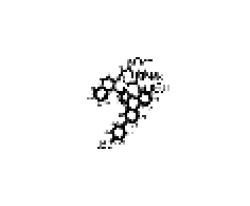 CCCCCCCCC(CCCCCC)COc1ccc2ccccc2c1-c1nc2c3cc(-c4ccc(C(C)(C)C)cc4)ccc3c3ccc(C(C)(C)C)cc3c2n1CC(CCCCCC)CCCCCCCC